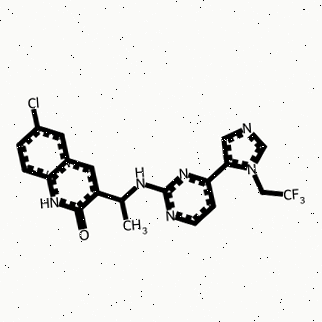 CC(Nc1nccc(-c2cncn2CC(F)(F)F)n1)c1cc2cc(Cl)ccc2[nH]c1=O